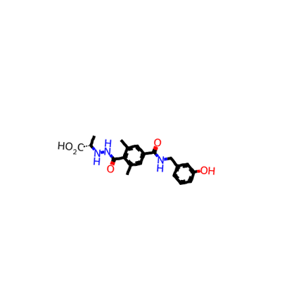 Cc1cc(C(=O)NCc2cccc(O)c2)cc(C)c1C(=O)NN[C@@H](C)C(=O)O